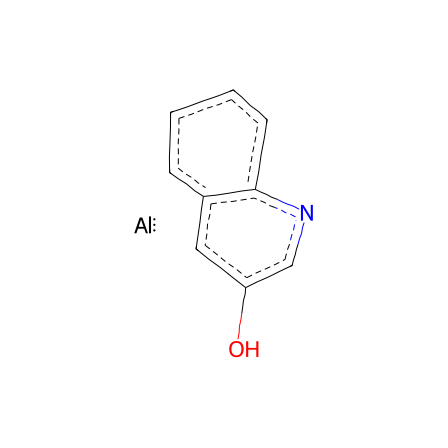 Oc1cnc2ccccc2c1.[Al]